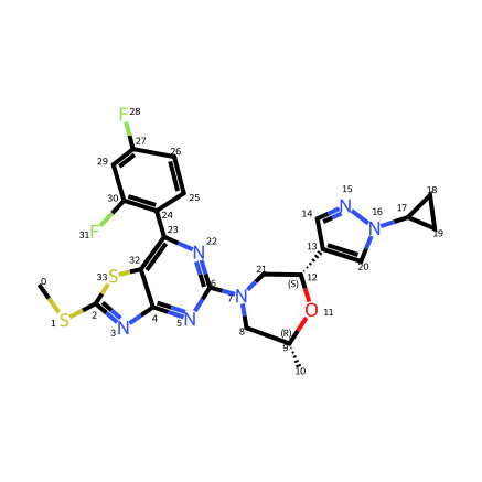 CSc1nc2nc(N3C[C@@H](C)O[C@@H](c4cnn(C5CC5)c4)C3)nc(-c3ccc(F)cc3F)c2s1